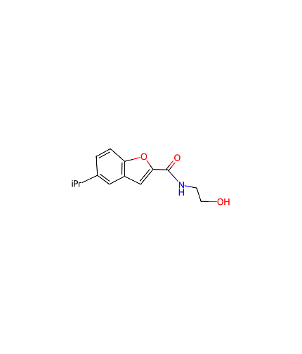 CC(C)c1ccc2oc(C(=O)NCCO)cc2c1